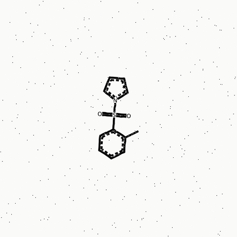 Cc1ccccc1S(=O)(=O)n1c[c]cc1